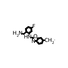 [CH2]c1ccc2nc(Nc3cc(F)ccc3CN)oc2c1